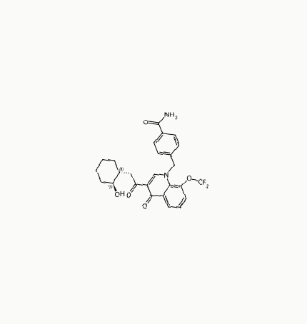 NC(=O)c1ccc(Cn2cc(C(=O)C[C@H]3CCCC[C@@H]3O)c(=O)c3cccc(OC(F)(F)F)c32)cc1